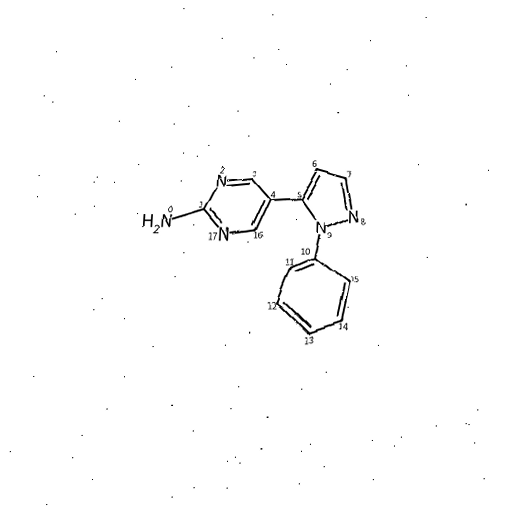 Nc1ncc(-c2ccnn2-c2ccccc2)cn1